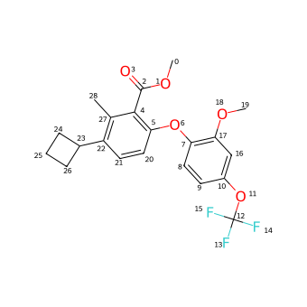 COC(=O)c1c(Oc2ccc(OC(F)(F)F)cc2OC)ccc(C2CCC2)c1C